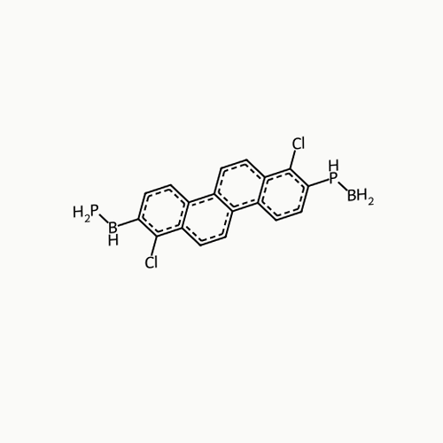 BPc1ccc2c(ccc3c4ccc(BP)c(Cl)c4ccc23)c1Cl